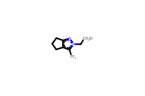 CCOC(=O)Cn1nc2c(c1C(F)(F)F)CCC2